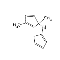 CC1=C[C](C)([Hf][C]2=CC=CC2)C=C1